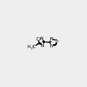 Cc1nc(C2=N[N]C=N2)no1